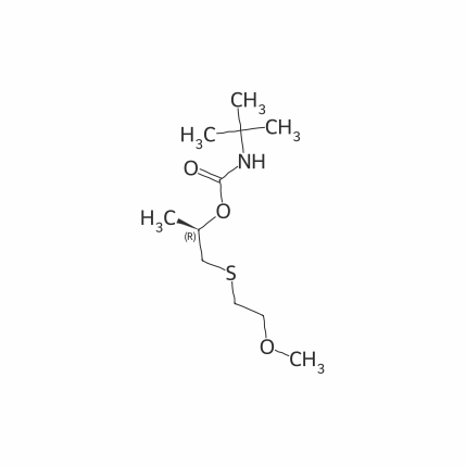 COCCSC[C@@H](C)OC(=O)NC(C)(C)C